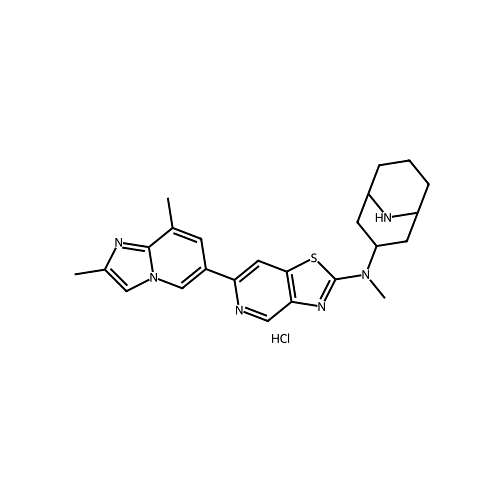 Cc1cn2cc(-c3cc4sc(N(C)C5CC6CCCC(C5)N6)nc4cn3)cc(C)c2n1.Cl